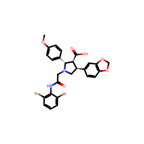 COc1ccc([C@@H]2[C@@H](C(=O)O)[C@@H](c3ccc4c(c3)OCO4)CN2CC(=O)Nc2c(Br)cccc2Br)cc1